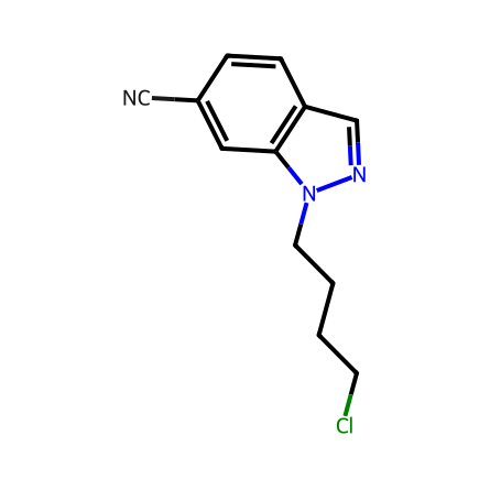 N#Cc1ccc2cnn(CCCCCl)c2c1